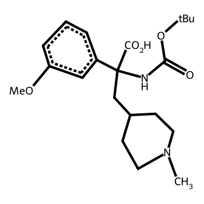 COc1cccc(C(CC2CCN(C)CC2)(NC(=O)OC(C)(C)C)C(=O)O)c1